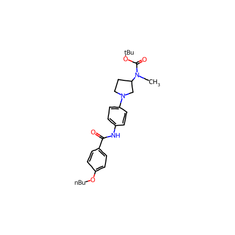 CCCCOc1ccc(C(=O)Nc2ccc(N3CCC(N(C)C(=O)OC(C)(C)C)C3)cc2)cc1